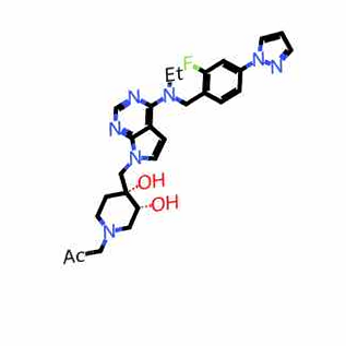 CCN(Cc1ccc(-n2cccn2)cc1F)c1ncnc2c1ccn2C[C@]1(O)CCN(CC(C)=O)C[C@H]1O